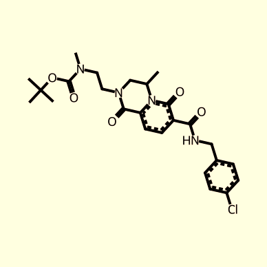 CC1CN(CCN(C)C(=O)OC(C)(C)C)C(=O)c2ccc(C(=O)NCc3ccc(Cl)cc3)c(=O)n21